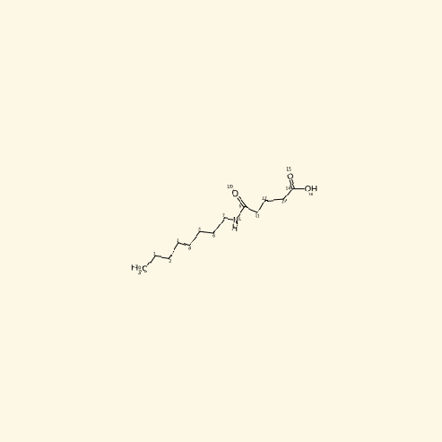 CCCCCCCCNC(=O)CCCC(=O)O